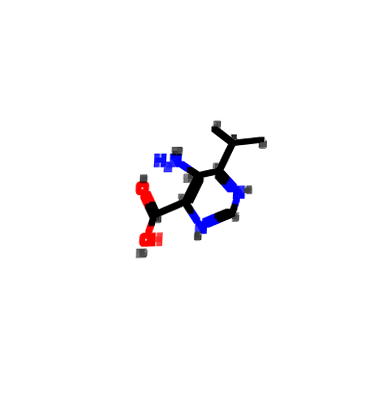 CC(C)c1ncnc(C(=O)O)c1N